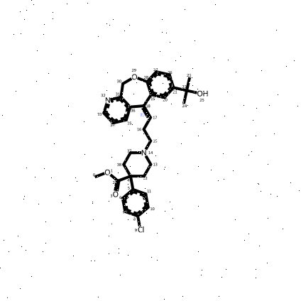 COC(=O)C1(c2ccc(Cl)cc2)CCN(CC/C=C2/c3cc(C(C)(C)O)ccc3OCc3ncccc32)CC1